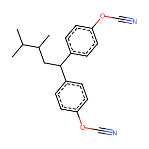 CC(C)C(C)CC(c1ccc(OC#N)cc1)c1ccc(OC#N)cc1